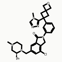 CC(C)[C@H]1CN(C)CCN1Cc1cc(Cl)c2c(c1)C(=O)N(c1cccc(C3(c4nncn4C)CC4(COC4)C3)c1)C2